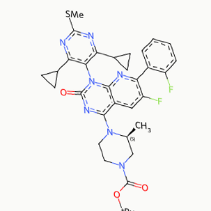 CSc1nc(C2CC2)c(-n2c(=O)nc(N3CCN(C(=O)OC(C)(C)C)C[C@@H]3C)c3cc(F)c(-c4ccccc4F)nc32)c(C2CC2)n1